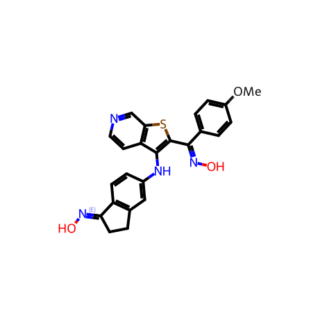 COc1ccc(C(=NO)c2sc3cnccc3c2Nc2ccc3c(c2)CC/C3=N\O)cc1